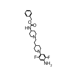 Nc1cc(F)c(N2CCC(CCN3CCC(NC(=O)OCc4ccccc4)CC3)CC2)cc1F